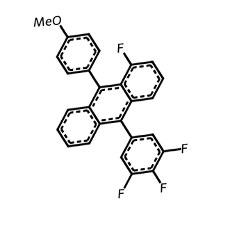 COc1ccc(-c2c3ccccc3c(-c3cc(F)c(F)c(F)c3)c3cccc(F)c23)cc1